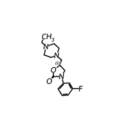 CCN1CCN(C[C@H]2CN(c3cccc(F)c3)C(=O)O2)CC1